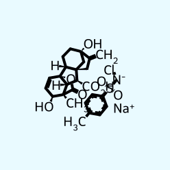 C=C1C[C@]23C[C@@]1(O)CC[C@H]2[C@@]12C=C[C@H](O)[C@@](C)(C(=O)O1)[C@H]2[C@@H]3C(=O)O.Cc1ccc(S(=O)(=O)[N-]Cl)cc1.[Na+]